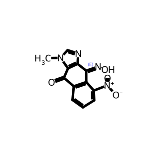 Cn1cnc2c1C(=O)c1cccc([N+](=O)[O-])c1/C2=N\O